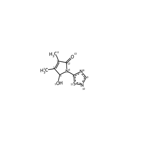 CC1=C(C)C(O)N(c2ncns2)C1=O